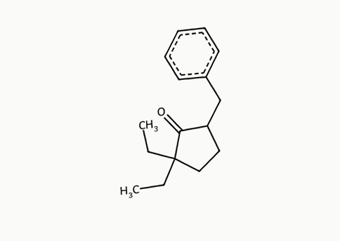 CCC1(CC)CCC(Cc2ccccc2)C1=O